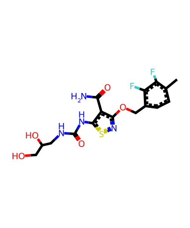 Cc1ccc(COc2nsc(NC(=O)NCC(O)CO)c2C(N)=O)c(F)c1F